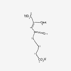 O=C(O)CCCC(=O)C=C(O)C(=O)O